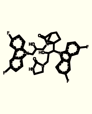 O=C1NCCN1CC(O)C(n1c2ccc(F)cc2c2cc(F)ccc21)C12CCC(C1)C(=O)N2CC(O)Cn1c2ccc(F)cc2c2cc(F)ccc21